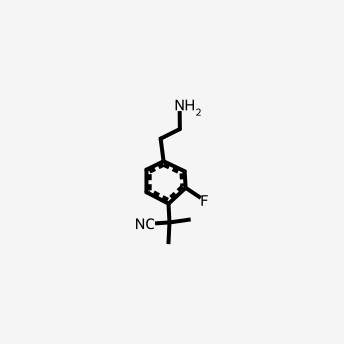 CC(C)(C#N)c1ccc(CCN)cc1F